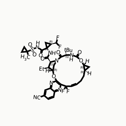 CC[C@@H]1[C@@H]2CN(C(=O)[C@H](C(C)(C)C)NC(=O)O[C@@H]3C[C@H]3CCC=CC(F)(F)c3nc4ccc(C#N)cc4nc3O2)[C@@H]1C(=O)N[C@]1(C(=O)NS(=O)(=O)C2(C)CC2)C[C@H]1C(F)F